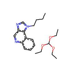 CCCCn1cnc2cnc3ccccc3c21.CCOC(OCC)OCC